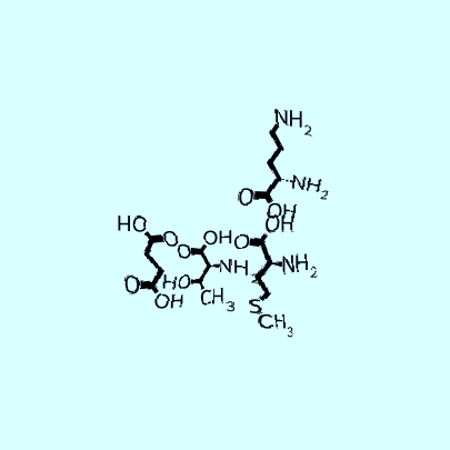 CSCC[C@H](N)C(=O)O.C[C@@H](O)[C@H](N)C(=O)O.NCCC[C@H](N)C(=O)O.O=C(O)CCC(=O)O